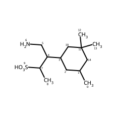 CC1CC(C(CN)C(C)S(=O)(=O)O)CC(C)(C)C1